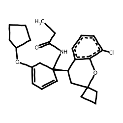 CCC(=O)NC1([C@@H]2CC3(CCC3)Oc3c(Cl)cccc32)C=CC=C(OC2CCCC2)C1